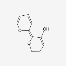 OC1=CC=COC1=C1C=CC=CO1